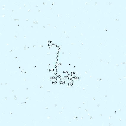 CC/C=C\C/C=C\C/C=C\CCCCCCCC(=O)OC[C@@H](O)CO[C@@H]1O[C@H](CO[C@H]2O[C@H](CO)[C@H](O)[C@H](O)[C@H]2O)[C@H](O)[C@H](O)[C@H]1O